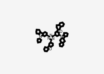 c1ccc(-n2c3ccccc3c3ccc(-c4nc(-c5ccc6oc7ccccc7c6c5)nc(-c5cc(-n6c7ccccc7c7cc8ccccc8cc76)c6oc7c8ccccc8ccc7c6c5)n4)cc32)cc1